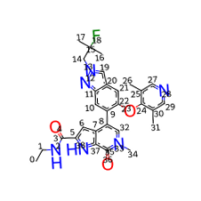 CCNC(=O)c1cc2c(-c3cc4nn(CC(C)(C)F)cc4cc3Oc3c(C)cncc3C)cn(C)c(=O)c2[nH]1